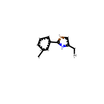 CC(=O)Cc1csc(-c2cccc(C)c2)n1